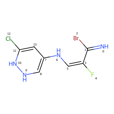 N=C(Br)/C(F)=C\NC1=CNNC(Cl)=C1